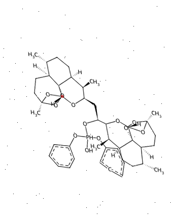 C[C@H]1[C@@H](C[C@H](O[PH](O)(Oc2ccccc2)Oc2ccccc2)C2O[C@@H]3O[C@]4(C)CC[C@H]5[C@H](C)CC[C@@H]([C@H]2C)[C@@]35OO4)O[C@@H]2O[C@]3(C)CC[C@H]4[C@H](C)CC[C@@H]1[C@@]24OO3